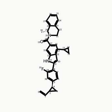 C=CC1C[C@@H]1c1ccc(-c2cc3c(C4CC4)cc(C(=O)N4CCc5ccccc5[C@H]4C)cc3[nH]2)c(F)c1